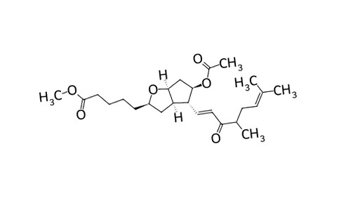 COC(=O)CCCC[C@@H]1C[C@@H]2[C@@H](/C=C/C(=O)C(C)CC=C(C)C)[C@H](OC(C)=O)C[C@@H]2O1